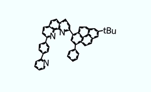 CC(C)(C)c1cc2ccc3c(-c4ccccc4)cc(-c4ccc5ccc6ccc(-c7ccc(-c8ccccn8)cc7)nc6c5n4)c4ccc(c1)c2c34